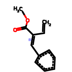 C=C/C(=C\c1ccccc1)C(=O)OC